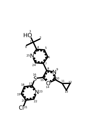 CC(C)(O)c1ccc(-c2nc(C3CC3)oc2Sc2ccc(Cl)cn2)cn1